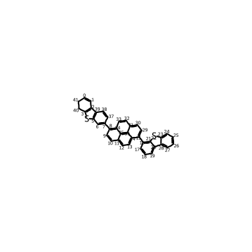 C1=Cc2c(sc3cc(-c4ccc5ccc6c(-c7cccc8c7sc7ccccc78)ccc7ccc4c5c76)ccc23)CC1